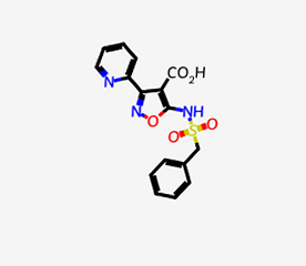 O=C(O)c1c(-c2ccccn2)noc1NS(=O)(=O)Cc1ccccc1